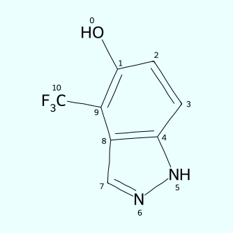 Oc1ccc2[nH]ncc2c1C(F)(F)F